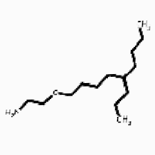 CCCCC(CCC)CCCCOCCN